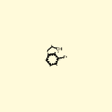 CCO.Fc1ccccc1